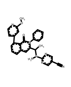 COc1cc(-c2cccc3cc(C(C)N(N)c4ncc(C#N)cn4)n(-c4ccccc4)c(=O)c23)ccn1